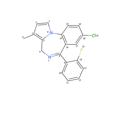 Cc1ccn2c1CN=C(c1ccccc1F)c1cc(Cl)ccc1-2